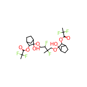 CC(F)(F)C(=O)OC1C2CCC(C2)C1(O)OCC(F)C(C)(F)COC1(O)C2CCC(C2)C1OC(=O)C(C)(F)F